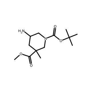 COC(=O)C1(C)CC(N)CN(C(=O)OC(C)(C)C)C1